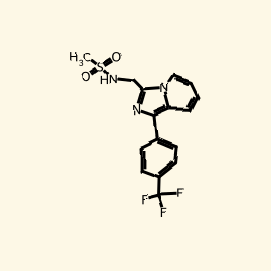 CS(=O)(=O)NCc1nc(-c2ccc(C(F)(F)F)cc2)c2ccccn12